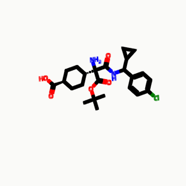 CC(C)(C)OC(=O)C(N)(C(=O)NC(c1ccc(Cl)cc1)C1CC1)[C@H]1CC[C@H](C(=O)O)CC1